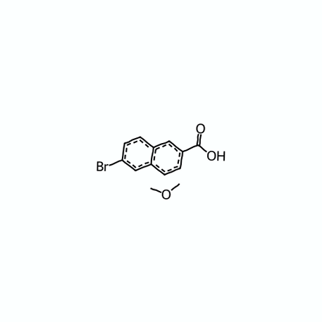 COC.O=C(O)c1ccc2cc(Br)ccc2c1